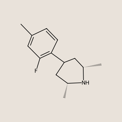 Cc1ccc(C2C[C@@H](C)N[C@@H](C)C2)c(F)c1